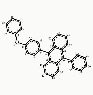 c1ccc(Oc2ccc(-c3c4ccccc4c(-c4ccccc4)c4ccccc34)cc2)cc1